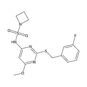 COc1cc(NS(=O)(=O)N2CCC2)nc(SCc2cccc(F)c2)n1